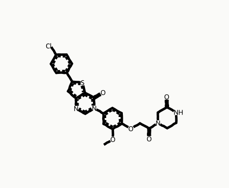 COc1cc(-n2cnc3cc(-c4ccc(Cl)cc4)sc3c2=O)ccc1OCC(=O)N1CCNC(=O)C1